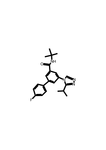 CC(C)c1nncn1-c1cc(C(=O)NC(C)(C)C)cc(-c2ccc(F)cc2)c1